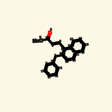 COC(=O)C=Cc1c(Cc2ccccc2)ccc2ccccc12